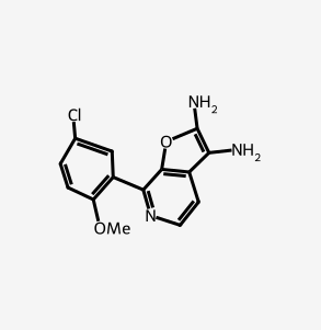 COc1ccc(Cl)cc1-c1nccc2c(N)c(N)oc12